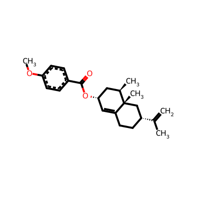 C=C(C)[C@@H]1CCC2=C[C@H](OC(=O)c3ccc(OC)cc3)C[C@@H](C)[C@]2(C)C1